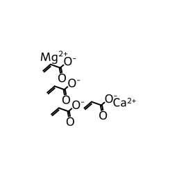 C=CC(=O)[O-].C=CC(=O)[O-].C=CC(=O)[O-].C=CC(=O)[O-].[Ca+2].[Mg+2]